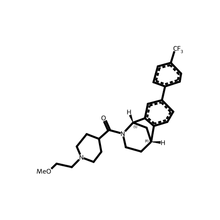 COCCN1CCC(C(=O)N2CC[C@@H]3C[C@H]2c2cc(-c4ccc(C(F)(F)F)cc4)ccc23)CC1